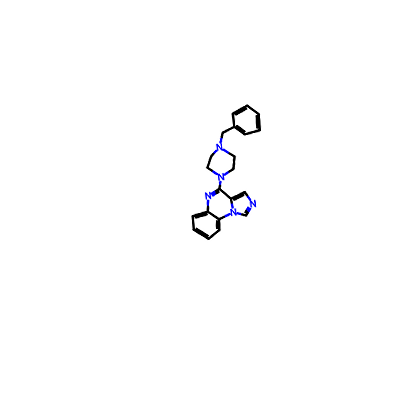 c1ccc(CN2CCN(c3nc4ccccc4n4cncc34)CC2)cc1